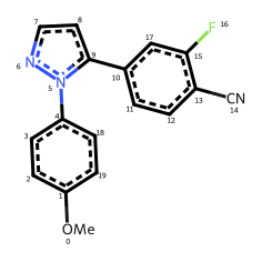 COc1ccc(-n2nccc2-c2ccc(C#N)c(F)c2)cc1